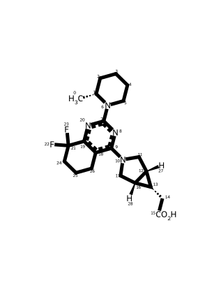 C[C@@H]1CCCCN1c1nc(N2C[C@@H]3[C@H](CC(=O)O)[C@@H]3C2)c2c(n1)C(F)(F)CCC2